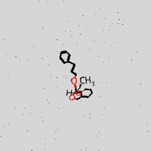 C[C@]1(OC/C=C/c2ccccc2)C[C@@H]2OCC3=CCCC[C@]32O1